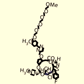 C#C/C1=C(Cl)\C(C)=C(/CC)c2c(-c3ccc(F)cc3)sc3ncnc(c23)O[C@@H](C(=O)O)Cc2cc(ccc2OCc2ccnc(C3=CC[C@](C)(COCCOCCOCCOCCOCCOC)CC3)n2)OC[C@@H](CN2CCN(C)CC2)O1